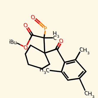 CCC(C)OC(=O)C(C)(P=O)C1(C(=O)c2c(C)cc(C)cc2C)CCCCC1